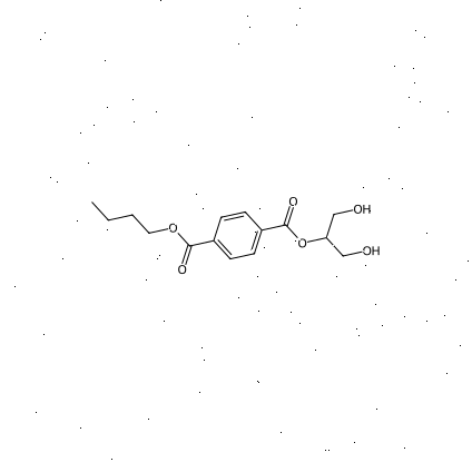 CCCCOC(=O)c1ccc(C(=O)OC(CO)CO)cc1